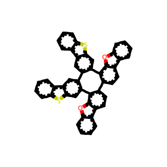 c1ccc2c(c1)oc1c3c(ccc12)-c1ccc2c(oc4ccccc42)c1-c1cc2sc4ccccc4c2cc1-c1cc2c(cc1-3)sc1ccccc12